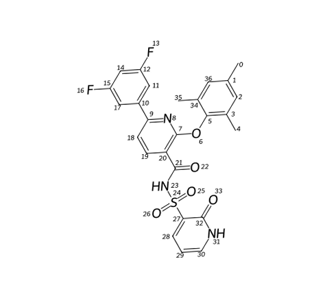 Cc1cc(C)c(Oc2nc(-c3cc(F)cc(F)c3)ccc2C(=O)NS(=O)(=O)c2ccc[nH]c2=O)c(C)c1